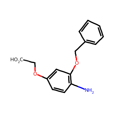 Nc1ccc(OCC(=O)O)cc1OCc1ccccc1